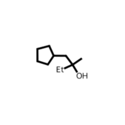 CCC(C)(O)CC1CCCC1